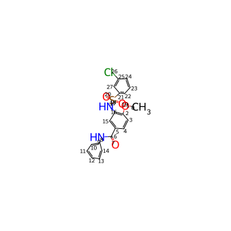 COc1ccc(C(=O)Nc2ccccc2)cc1NS(=O)(=O)c1cccc(Cl)c1